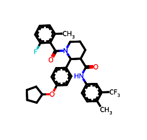 Cc1ccc(NC(=O)C2CCCN(C(=O)c3c(C)cccc3F)C2c2ccc(OC3CCCC3)cc2)cc1C(F)(F)F